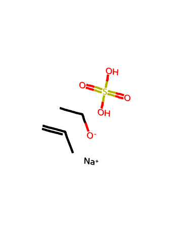 C=CC.CC[O-].O=S(=O)(O)O.[Na+]